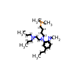 C=Nc1ccc(CCC)cc1N(CCCCP(C)C)CCN(CCC)CCC